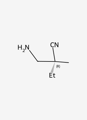 CC[C@@](C)(C#N)CN